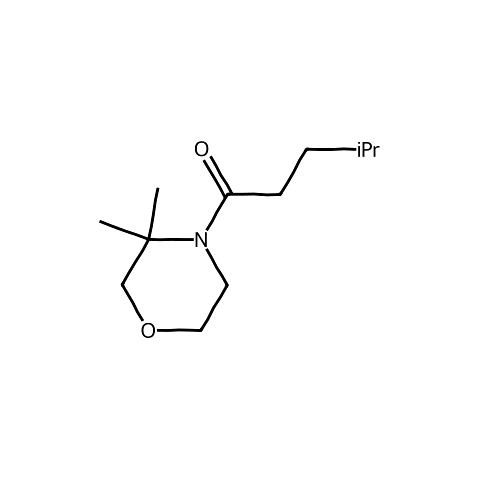 CC(C)CCC(=O)N1CCOCC1(C)C